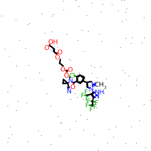 CN1CC(c2ccc(Cl)c(C(=O)N(COC(=O)OCCCOC(=O)/C=C/C(=O)O)C3(C#N)CC3)c2)=CN1c1[nH]nc(C(F)(F)C(F)(F)F)c1C(F)(F)F